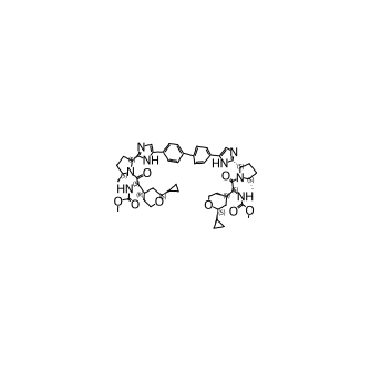 COC(=O)N[C@H](C(=O)N1[C@@H](C)CC[C@H]1c1ncc(-c2ccc(-c3ccc(-c4cnc([C@@H]5CC[C@H](C)N5C(=O)[C@@H](NC(=O)OC)[C@@H]5CCO[C@H](C6CC6)C5)[nH]4)cc3)cc2)[nH]1)[C@@H]1CCO[C@H](C2CC2)C1